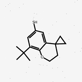 CC(C)(C)c1cc(S)cc2c1OCCC21CC1